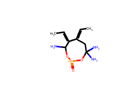 CC=C1CC(N)(N)O[PH](=O)OC(N)C1=CC